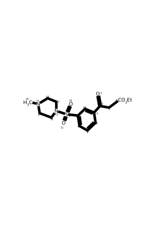 CCOC(=O)CC(=O)c1cccc(S(=O)(=O)N2CCN(C)CC2)c1